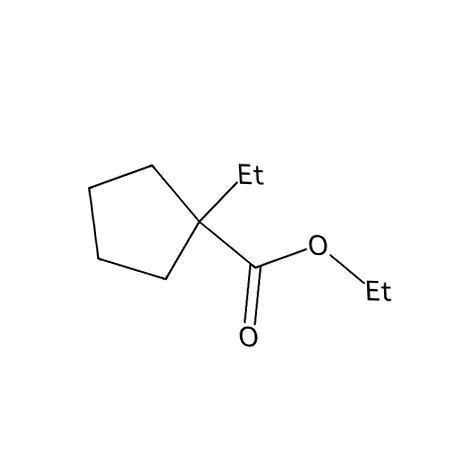 CCOC(=O)C1(CC)CCCC1